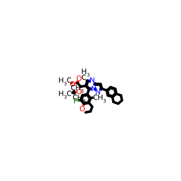 COC(=O)[C@@H](OC(C)(C)C)c1c(C)nc2cc(-c3ccc4c(c3)CCCC4)nn2c1-c1cc(F)c2c(c1C)CCCO2